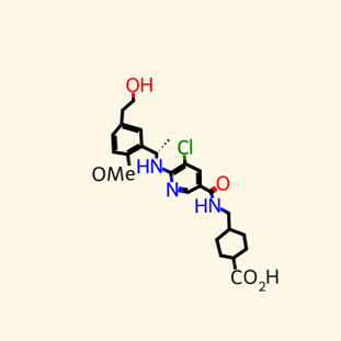 COc1ccc(CCO)cc1[C@H](C)Nc1ncc(C(=O)NCC2CCC(C(=O)O)CC2)cc1Cl